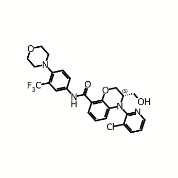 O=C(Nc1ccc(N2CCOCC2)c(C(F)(F)F)c1)c1cccc2c1OC[C@H](CO)N2c1ncccc1Cl